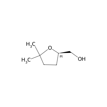 CC1(C)CC[C@H](CO)O1